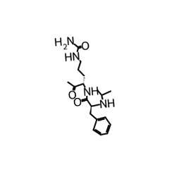 CC(=O)[C@H](CCCNC(N)=O)NC(=O)[C@H](Cc1ccccc1)NC(C)C